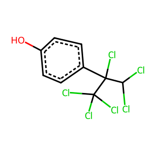 Oc1ccc(C(Cl)(C(Cl)Cl)C(Cl)(Cl)Cl)cc1